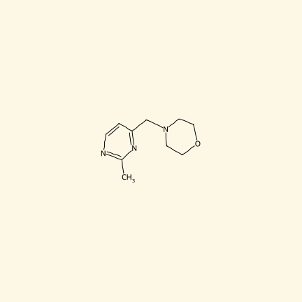 Cc1nccc(CN2CCOCC2)n1